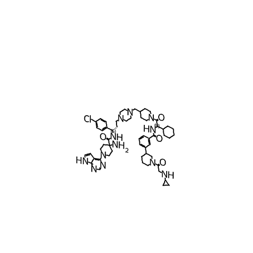 NC1(C(=O)N[C@@H](CCN2CCN(CC3CCN(C(=O)[C@H](NC(=O)c4cccc(C5CCCN(C(=O)CNC6CC6)C5)c4)C4CCCCC4)CC3)CC2)c2ccc(Cl)cc2)CCN(c2ncnc3[nH]ccc23)CC1